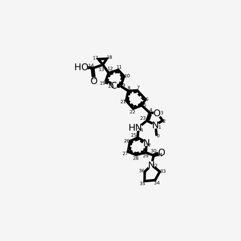 CN1COC(c2ccc(-c3ccc(C4(C(=O)O)CC4)cc3)cc2)=C1Nc1cccc(C(=O)N2CCCC2)n1